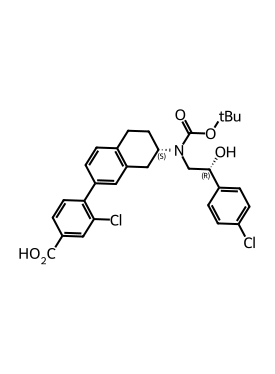 CC(C)(C)OC(=O)N(C[C@H](O)c1ccc(Cl)cc1)[C@H]1CCc2ccc(-c3ccc(C(=O)O)cc3Cl)cc2C1